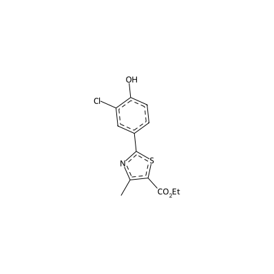 CCOC(=O)c1sc(-c2ccc(O)c(Cl)c2)nc1C